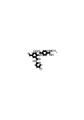 CNC(=N)c1ccc(C(=O)Nc2c(O)cc(CI)cc2C(=O)Nc2ccc(Cl)cn2)cc1